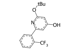 CC(C)(C)Oc1cc(O)cc(-c2ccccc2C(F)(F)F)n1